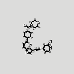 O=C(c1ccc(-c2ccc3ncc(C#Cc4ccnc(Cl)c4)n3n2)cc1)N1CCOCC1